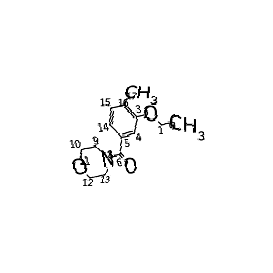 CCOc1cc(C(=O)N2CCOCC2)ccc1C